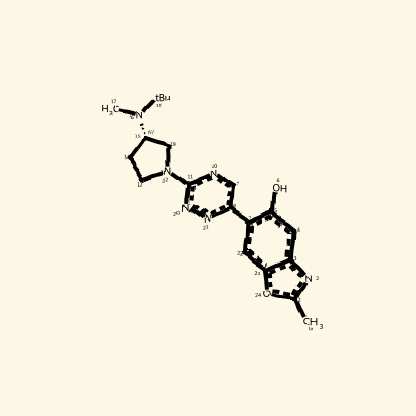 Cc1nc2cc(O)c(-c3cnc(N4CC[C@H](N(C)C(C)(C)C)C4)nn3)cc2o1